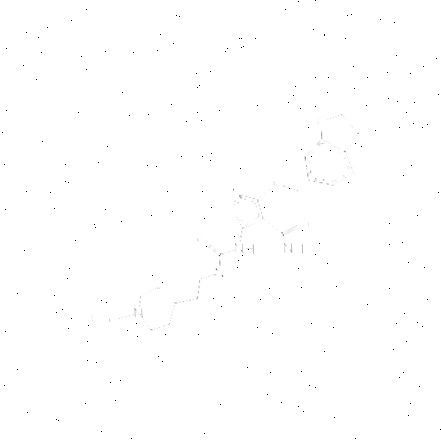 CN1CCC(CCNC(=O)Nc2snc(OCc3ccc4c(c3)OCC4)c2C(N)=O)CC1